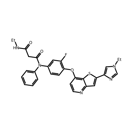 CCNC(=O)CC(=O)N(c1ccccc1)c1ccc(Oc2ccnc3cc(-c4cn(CC)cn4)sc23)c(F)c1